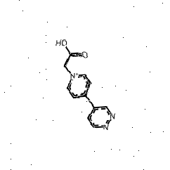 O=C(O)C[n+]1ccc(-c2ccnnc2)cc1